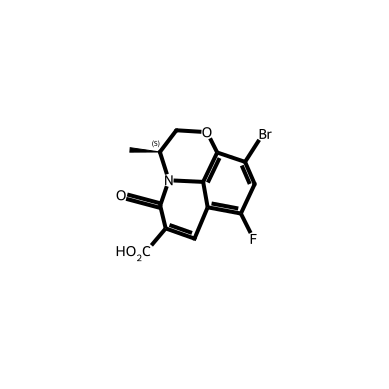 C[C@H]1COc2c(Br)cc(F)c3cc(C(=O)O)c(=O)n1c23